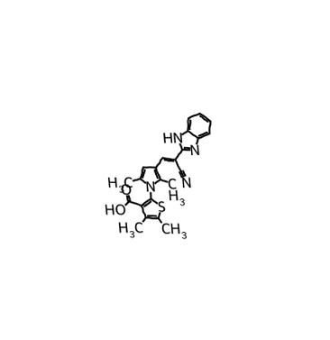 Cc1sc(-n2c(C)cc(C=C(C#N)c3nc4ccccc4[nH]3)c2C)c(C(=O)O)c1C